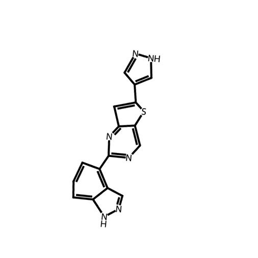 c1cc(-c2ncc3sc(-c4cn[nH]c4)cc3n2)c2cn[nH]c2c1